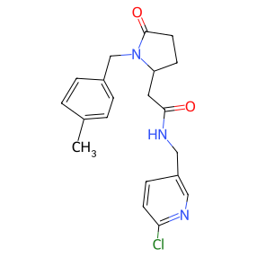 Cc1ccc(CN2C(=O)CCC2CC(=O)NCc2ccc(Cl)nc2)cc1